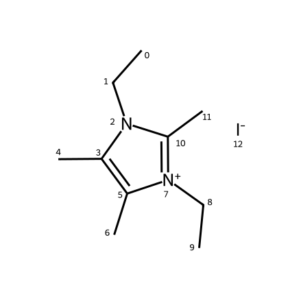 CCn1c(C)c(C)[n+](CC)c1C.[I-]